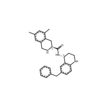 Cc1cc(C)c2c(c1)CN[C@H](C(=O)N[C@@H]1CCNc3ccc(Cc4ccccc4)cc31)C2